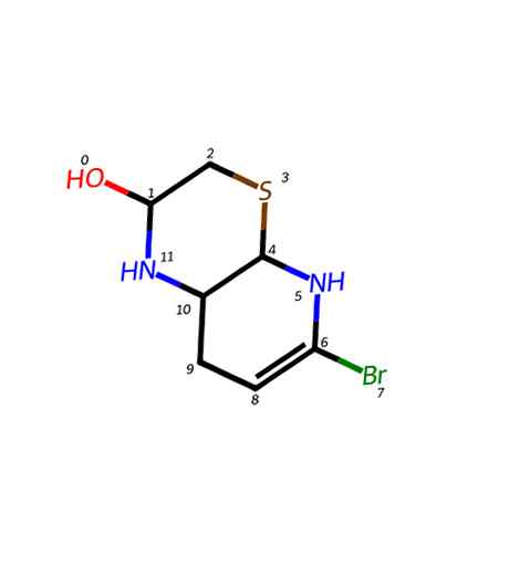 OC1CSC2NC(Br)=CCC2N1